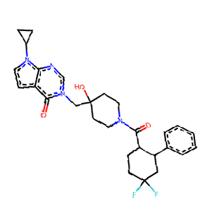 O=C(C1CCC(F)(F)CC1c1ccccc1)N1CCC(O)(Cn2cnc3c(ccn3C3CC3)c2=O)CC1